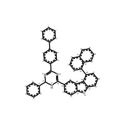 c1ccc(-c2ccc(C3=NC(c4ccccc4)NC(c4ccc5oc6cccc(-c7cccc8ccccc78)c6c5c4)=N3)cc2)cc1